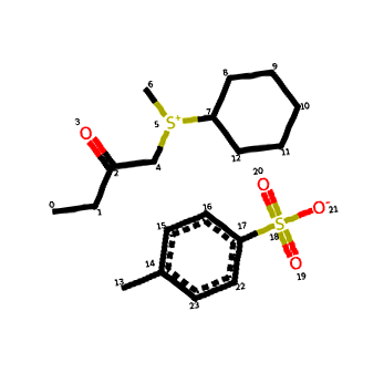 CCC(=O)C[S+](C)C1CCCCC1.Cc1ccc(S(=O)(=O)[O-])cc1